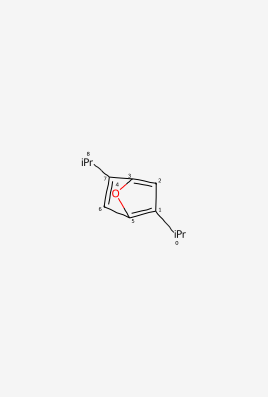 CC(C)c1cc2oc1cc2C(C)C